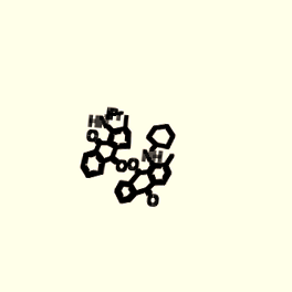 Cc1ccc2c(c1NC(C)C)C(=O)c1ccccc1C2=O.Cc1ccc2c(c1NC1CCCCC1)C(=O)c1ccccc1C2=O